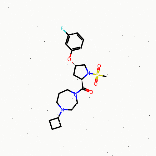 CS(=O)(=O)N1C[C@@H](Oc2cccc(F)c2)C[C@@H]1C(=O)N1CCCN(C2CCC2)CC1